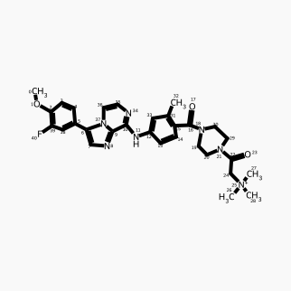 COc1ccc(-c2cnc3c(Nc4ccc(C(=O)N5CCN(C(=O)C[N+](C)(C)C)CC5)c(C)c4)nccn23)cc1F